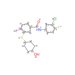 O=C(Nc1ccc(F)c(Cl)c1)c1ccc(I)c(SC2CCC(O)CC2)c1